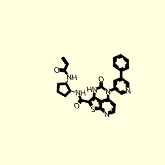 C=CC(=O)N[C@H]1CCC[C@H]1NC(=O)c1sc2nccc3c2c1NC(=O)N3c1cncc(-c2ccccc2)c1